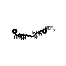 O=C(Cc1cccc(OC(F)(F)F)c1)Nc1nnc(CCCCc2cc3cc(Cc4ccccc4)[nH]c3nn2)s1